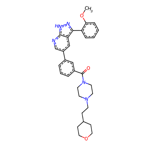 COc1ccccc1-c1n[nH]c2ncc(-c3cccc(C(=O)N4CCN(CCC5CCOCC5)CC4)c3)cc12